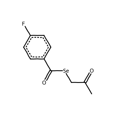 CC(=O)C[Se]C(=O)c1ccc(F)cc1